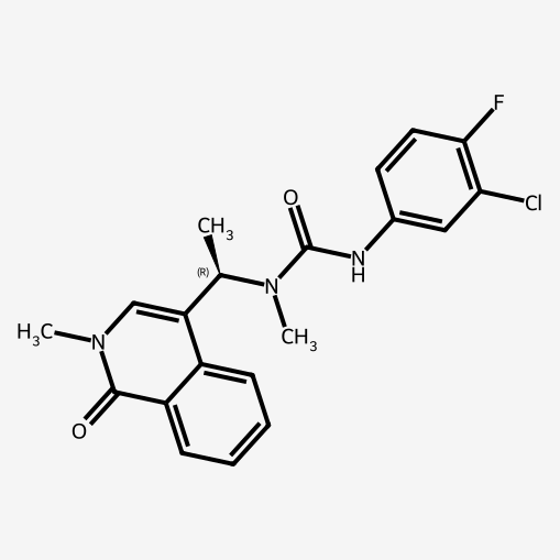 C[C@H](c1cn(C)c(=O)c2ccccc12)N(C)C(=O)Nc1ccc(F)c(Cl)c1